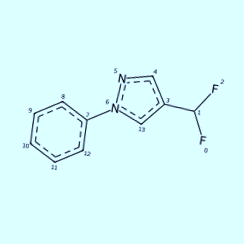 FC(F)c1cnn(-c2ccccc2)c1